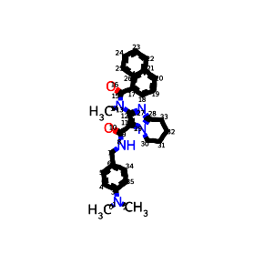 CN(C)c1ccc(CNC(=O)c2c(N(C)C(=O)c3cccc4ccccc34)nc3n2CCCC3)cc1